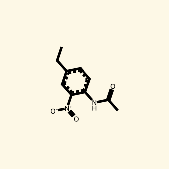 CCc1ccc(NC(C)=O)c([N+](=O)[O-])c1